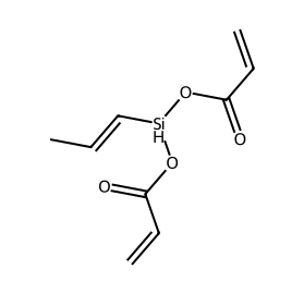 C=CC(=O)O[SiH](C=CC)OC(=O)C=C